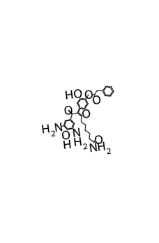 NC(=O)CCCCCc1oc2cc(OC(=O)Cc3ccccc3)c(O)cc2c1C(=O)c1cc(N)c(O)c(N)c1